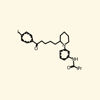 CC(C)C(=O)Nc1cccc(N2CCCCC2CCCCC(=O)c2ccc(I)cc2)c1